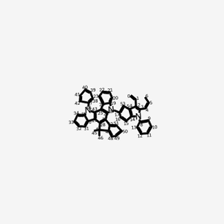 C=Cc1c(/C=C\C)n(-c2ccccc2)c2ccc(-n3c4ccccc4c4c3c3c(c5c6ccccc6n(-c6ccccc6)c54)C(C)(C)c4ccccc4-3)cc12